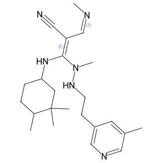 C/N=C\C(C#N)=C(\NC1CCC(C)C(C)(C)C1)N(C)NCCc1cncc(C)c1